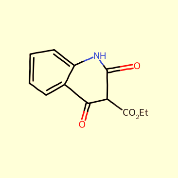 CCOC(=O)C1C(=O)Nc2ccccc2C1=O